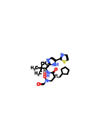 CC(C)(C)[C@H](NC(=O)[C@H](CC1CCCC1)CN(O)C=O)c1ncc(-c2nccs2)[nH]1